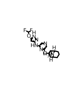 CN1[C@@H]2CCC[C@H]1CC(Oc1cncc(Nc3cc(OC(F)F)[nH]n3)n1)C2